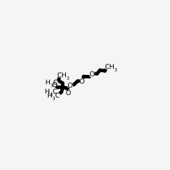 CCCCOCCOCCOC(=O)C(CC)(CC(C)C)C(C)=O